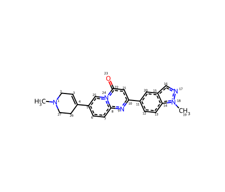 CN1CC=C(c2ccc3nc(-c4ccc5c(cnn5C)c4)cc(=O)n3c2)CC1